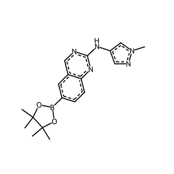 Cn1cc(Nc2ncc3cc(B4OC(C)(C)C(C)(C)O4)ccc3n2)cn1